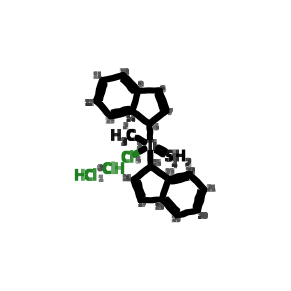 Cl.Cl.[CH3][Ti](=[SiH2])([Cl])([CH]1C=Cc2ccccc21)[CH]1C=Cc2ccccc21